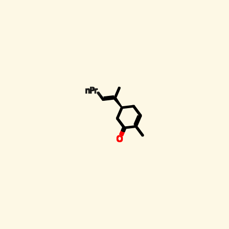 CCCC=C(C)[C@H]1CC=C(C)C(=O)C1